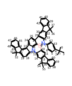 CC(C)(C)c1ccc(N2B3c4cc5c(cc4-n4c6ccc7c(c6c6ccc(c3c64)-c3cc4c(cc32)C(C)(C)c2ccccc2-4)-c2ccccc2C7(C)C)C(C)(C)c2ccccc2-5)cc1